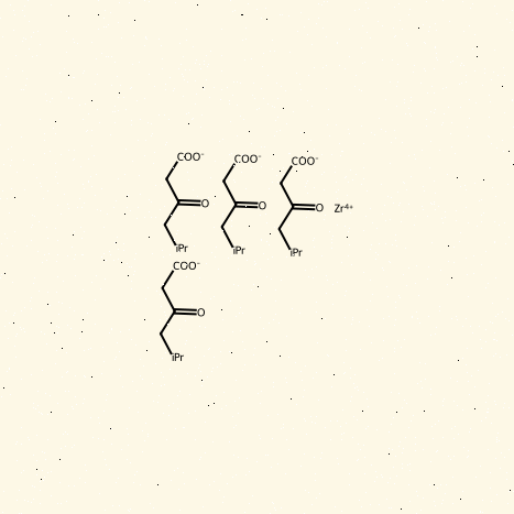 CC(C)CC(=O)CC(=O)[O-].CC(C)CC(=O)CC(=O)[O-].CC(C)CC(=O)CC(=O)[O-].CC(C)CC(=O)CC(=O)[O-].[Zr+4]